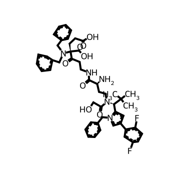 CC(C)(C)[C@H](c1cc(-c2cc(F)ccc2F)cn1Cc1ccccc1)N(CC[C@H](N)C(=O)NCCC(=O)[C@@](CCC(=O)O)(C(=O)O)N(Cc1ccccc1)Cc1ccccc1)C(=O)CO